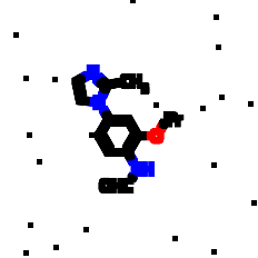 Cc1nccn1-c1ccc(NC=O)c(OC(C)C)c1